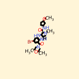 CO[C@@H]1CC[C@H](NC(=O)[C@@H]2C3Nc4cc(Br)cc(C(=O)N5C[C@@H](C)O[C@@H](C)C5)c4N[C@H]3CN2C)C1